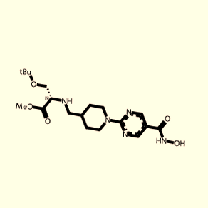 COC(=O)[C@H](COC(C)(C)C)NCC1CCN(c2ncc(C(=O)NO)cn2)CC1